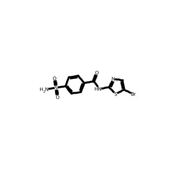 NS(=O)(=O)c1ccc(C(=O)Nc2ncc(Br)s2)cc1